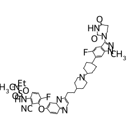 CCN(C)S(=O)(=O)Nc1ccc(F)c(Oc2ccc3ncc(CCC4CCN(C5CCC(c6cc7c(cc6F)c(N6CCC(=O)NC6=O)nn7C)CC5)CC4)nc3c2)c1C#N